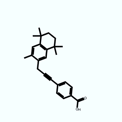 Cc1cc2c(cc1CC#Cc1ccc(C(=O)O)cc1)C(C)(C)CCC2(C)C